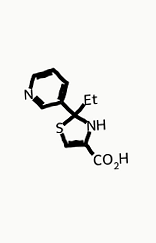 CCC1(c2cccnc2)NC(C(=O)O)=CS1